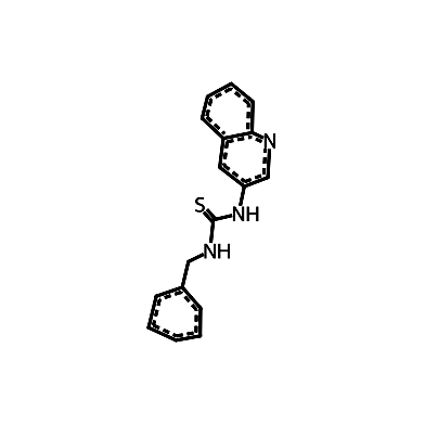 S=C(NCc1ccccc1)Nc1cnc2ccccc2c1